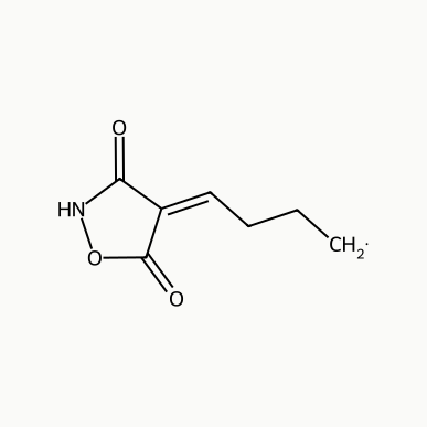 [CH2]CCC=C1C(=O)NOC1=O